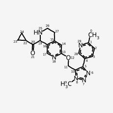 Cc1ccc(-c2nnn(C)c2COc2cc3c(cn2)C(C(=O)C2CC2)NCC3)cn1